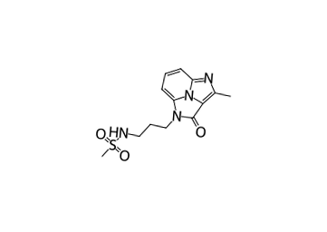 Cc1nc2cccc3n(CCCNS(C)(=O)=O)c(=O)c1n23